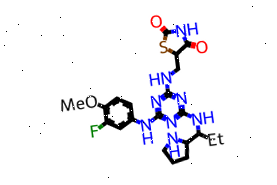 CCC(Nc1nc(NCC2SC(=O)NC2=O)nc(Nc2ccc(OC)c(F)c2)n1)C1CCCN1